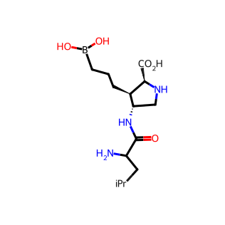 CC(C)CC(N)C(=O)N[C@H]1CN[C@H](C(=O)O)[C@@H]1CCCB(O)O